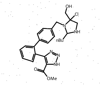 CCCCC1NCC(Cl)(CO)N1Cc1ccc(-c2ccccc2-c2nn[nH]c2C(=O)OC)cc1